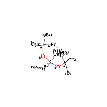 CCCCC[Si](OC)(OC(C)(CC)CCCC)OC(CC)(CC)CCCC